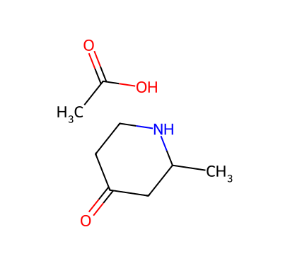 CC(=O)O.CC1CC(=O)CCN1